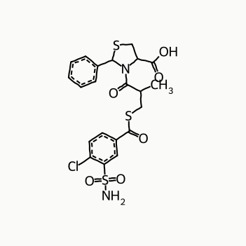 CC(CSC(=O)c1ccc(Cl)c(S(N)(=O)=O)c1)C(=O)N1C(C(=O)O)CSC1c1ccccc1